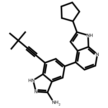 CC(C)(C)C#Cc1cc(-c2ccnc3[nH]c(C4CCCC4)cc23)cc2c(N)n[nH]c12